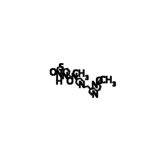 COc1ccc2nccc(CCN3CCC(N(C)C(=O)c4ccc5c(n4)NC(=O)CS5)CC3)c2n1